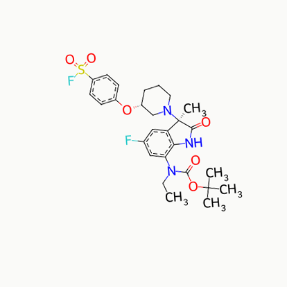 CCN(C(=O)OC(C)(C)C)c1cc(F)cc2c1NC(=O)[C@]2(C)N1CCC[C@@H](Oc2ccc(S(=O)(=O)F)cc2)C1